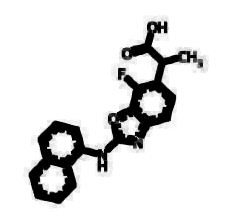 CC(C(=O)O)c1ccc2nc(Nc3cccc4ccccc34)oc2c1F